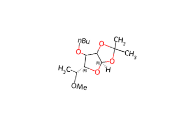 CCCCOC1C2OC(C)(C)O[C@H]2O[C@@H]1C(C)OC